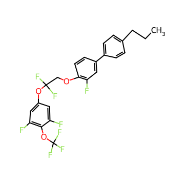 CCCc1ccc(-c2ccc(OCC(F)(F)Oc3cc(F)c(OC(F)(F)F)c(F)c3)c(F)c2)cc1